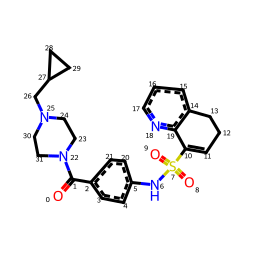 O=C(c1ccc(NS(=O)(=O)C2=CCCc3cccnc32)cc1)N1CCN(CC2CC2)CC1